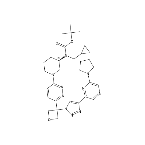 CC(C)(C)OC(=O)N(CC1CC1)[C@@H]1CCCN(c2ccc(C3(n4cc(-c5cncc(N6CCCC6)n5)nn4)COC3)nn2)C1